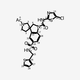 CC(=O)N1CCC2(C1)CN(C(=O)Nc1ncc(Cl)s1)c1ccc(S(=O)(=O)NCc3cccs3)cc12